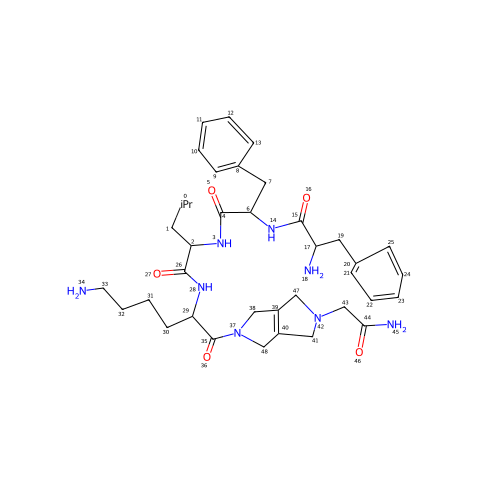 CC(C)CC(NC(=O)C(Cc1ccccc1)NC(=O)C(N)Cc1ccccc1)C(=O)NC(CCCCN)C(=O)N1CC2=C(CN(CC(N)=O)C2)C1